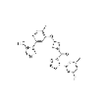 Cn1cnnc1-c1cc(OC2CN(C(=O)N3N=CC[C@H]3c3cc(F)cc(F)c3)C2)c(F)cn1